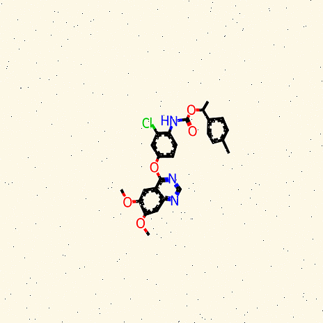 COc1cc2ncnc(Oc3ccc(NC(=O)OC(C)c4ccc(C)cc4)c(Cl)c3)c2cc1OC